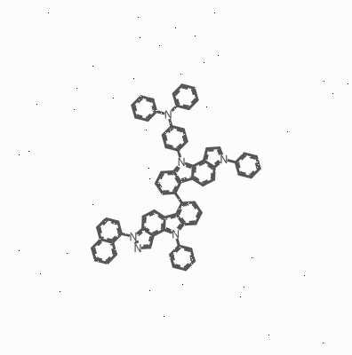 c1ccc(N(c2ccccc2)c2ccc(-n3c4cccc(-c5cccc6c5c5ccc7c(cnn7-c7cccc8ccccc78)c5n6-c5ccccc5)c4c4ccc5c(ccn5-c5ccccc5)c43)cc2)cc1